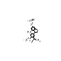 CCCc1ccc(C2CCCc3cc(OCP(O)O)cc(C)c32)cc1C(C)C